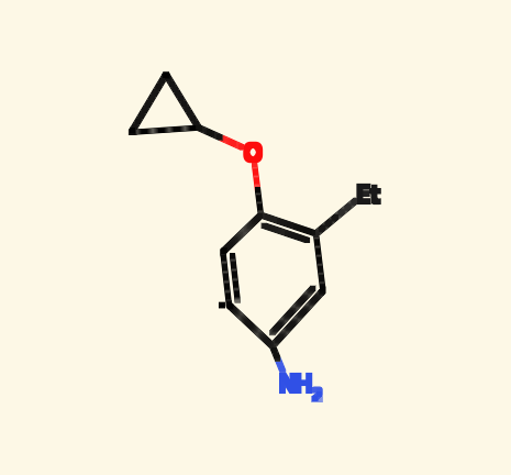 CCc1cc(N)[c]cc1OC1CC1